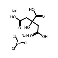 O=C(O)CC(O)(CC(=O)O)C(=O)O.[Au].[Cl][Au]([Cl])[Cl].[NaH]